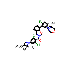 COC1CN(c2cc(Cl)c(C(=O)N3COc4c(cccc4-c4cc(N5C6CCC5COC6)c(C(=O)O)cc4F)C3)c(Cl)c2)C1(C)C